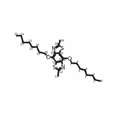 CCCCCCCCOc1c2nc(C)sc2c(OCCCCCCCC)c2nc(C)sc12